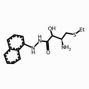 CCSC[C@@H](N)C(O)C(=O)NNc1cccc2ccccc12